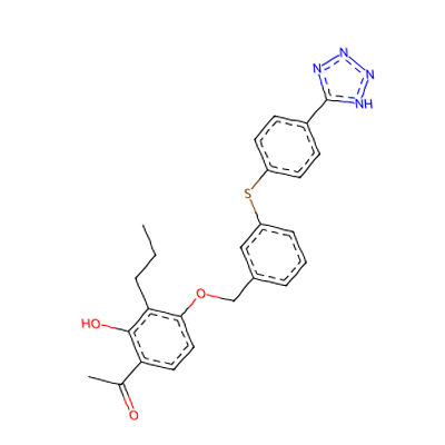 CCCc1c(OCc2cccc(Sc3ccc(-c4nnn[nH]4)cc3)c2)ccc(C(C)=O)c1O